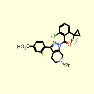 CC(C)N1CCc2c(-c3ccc(C(=O)O)cc3F)nn(C(=O)c3c(Cl)cccc3C3(C(F)(F)F)CC3)c2C1